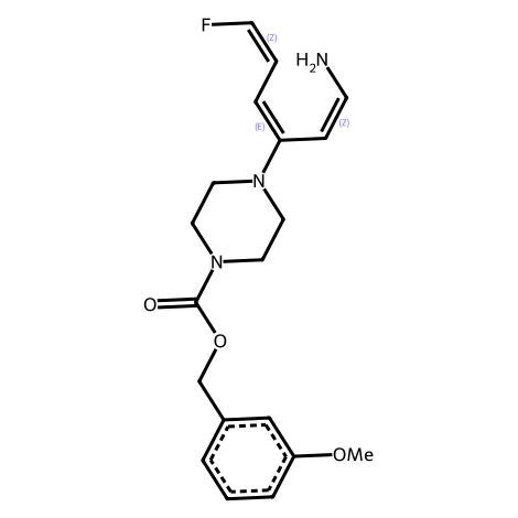 COc1cccc(COC(=O)N2CCN(C(/C=C\N)=C/C=C\F)CC2)c1